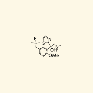 COc1ccc(CC(C)(C)F)cc1C(O)(CN(C)C)c1nccs1